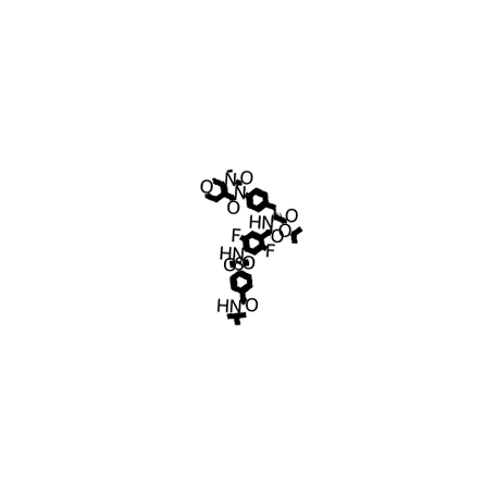 CC(C)OC(=O)[C@H](Cc1ccc(-n2c(=O)c3c(n(C)c2=O)COCC3)cc1)NC(=O)c1cc(F)c(NS(=O)(=O)c2ccc(C(=O)NC(C)(C)C)cc2)cc1F